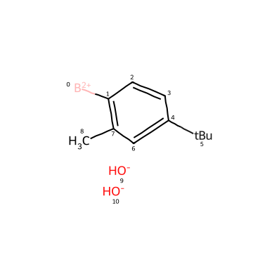 [B+2]c1ccc(C(C)(C)C)cc1C.[OH-].[OH-]